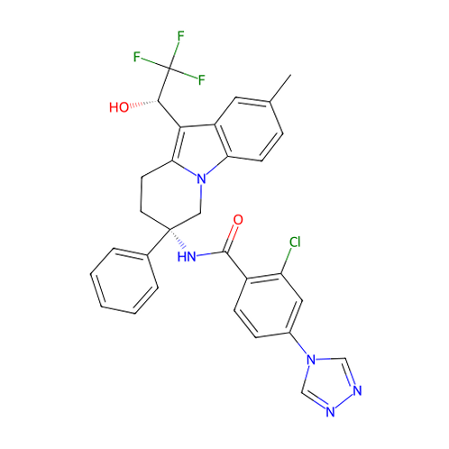 Cc1ccc2c(c1)c([C@H](O)C(F)(F)F)c1n2C[C@@](NC(=O)c2ccc(-n3cnnc3)cc2Cl)(c2ccccc2)CC1